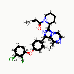 C=CC(=O)N1CCCCC1c1nc(-c2ccc(Oc3cccc(Cl)c3F)cc2)c2c(C)nccn12